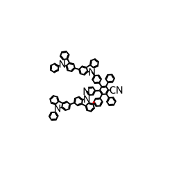 N#Cc1c(-c2ccccc2)c(-c2ccccc2)c(-c2ccnc(-n3c4ccccc4c4cc(-c5ccc6c(c5)c5ccccc5n6-c5ccccc5)ccc43)c2)c(-c2ccc(-n3c4ccccc4c4cc(-c5ccc6c(c5)c5ccccc5n6-c5ccccc5)ccc43)cc2)c1-c1ccccc1